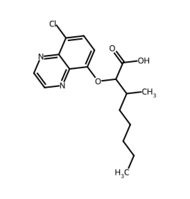 CCCCCC(C)C(Oc1ccc(Cl)c2nccnc12)C(=O)O